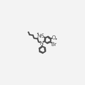 CCCCC1CN(c2ccccc2)c2cc(Br)c(OC)cc2SN1C